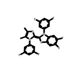 CC1=C(C)N(c2cc(F)cc(F)c2)/C(=C2\Sc3cc(F)c(F)cc3N2c2cc(F)cc(F)c2)S1